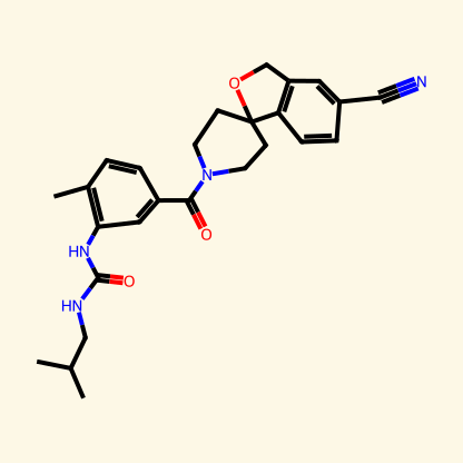 Cc1ccc(C(=O)N2CCC3(CC2)OCc2cc(C#N)ccc23)cc1NC(=O)NCC(C)C